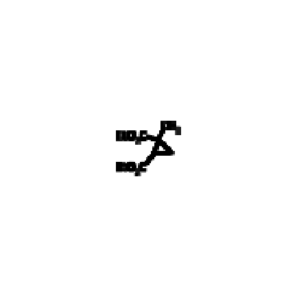 CCOC(=O)C1CC1(C)C(=O)OCC